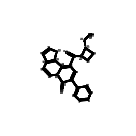 O=C(c1cc(-c2ccccc2)c(=O)n2ccc3ccsc3c12)N1CC[C@H]1CO